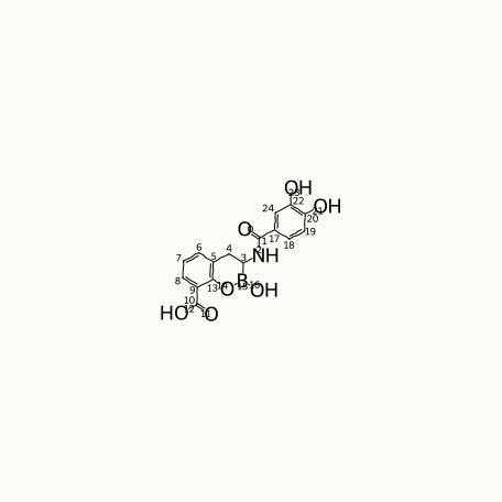 O=C(NC1Cc2cccc(C(=O)O)c2OB1O)c1ccc(O)c(O)c1